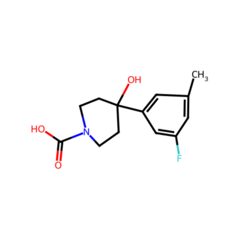 Cc1cc(F)cc(C2(O)CCN(C(=O)O)CC2)c1